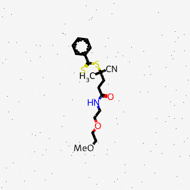 COCCOCCNC(=O)CCC(C)(C#N)SC(=S)c1ccccc1